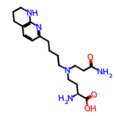 NC(=O)CCN(CCCCc1ccc2c(n1)NCCC2)CC[C@H](N)C(=O)O